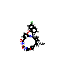 CO[C@H]1C2=C[C@H](C2)[C@H](C)N(C)S(=O)(=O)NC(=O)c2ccc3c(c2)N(C[C@@H]2CC[C@H]21)C[C@@]1(CCCc2cc(Cl)ccc21)CO3